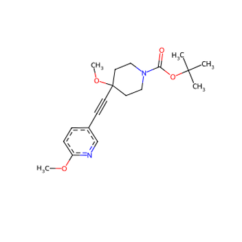 COc1ccc(C#CC2(OC)CCN(C(=O)OC(C)(C)C)CC2)cn1